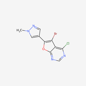 Cn1cc(-c2oc3ncnc(Cl)c3c2Br)cn1